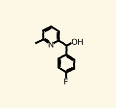 Cc1cccc(C(O)c2ccc(F)cc2)n1